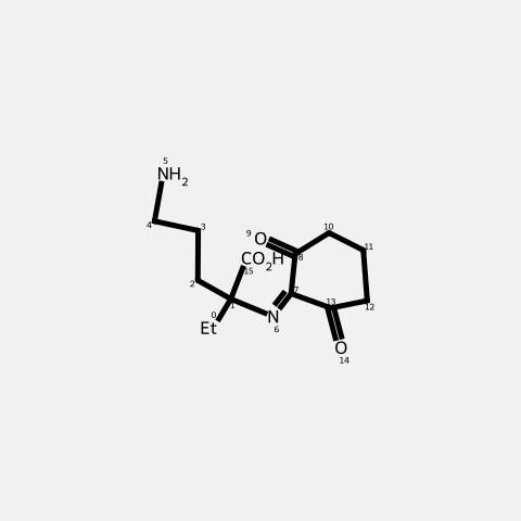 CCC(CCCN)(N=C1C(=O)CCCC1=O)C(=O)O